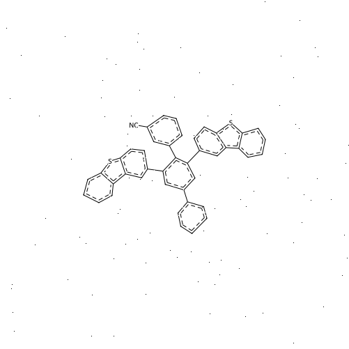 N#Cc1cccc(-c2c(-c3ccc4sc5ccccc5c4c3)cc(-c3ccccc3)cc2-c2ccc3sc4ccccc4c3c2)c1